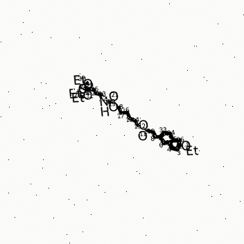 CCOc1ccc2cc(/C=C/C(=O)OCCCCCCOC(=O)NCCC[Si](OCC)(OCC)OCC)ccc2c1